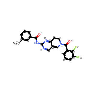 COc1cccc(C(=O)NC2N=CC3=CN(C(=O)c4cccc(F)c4F)CCC3=N2)c1